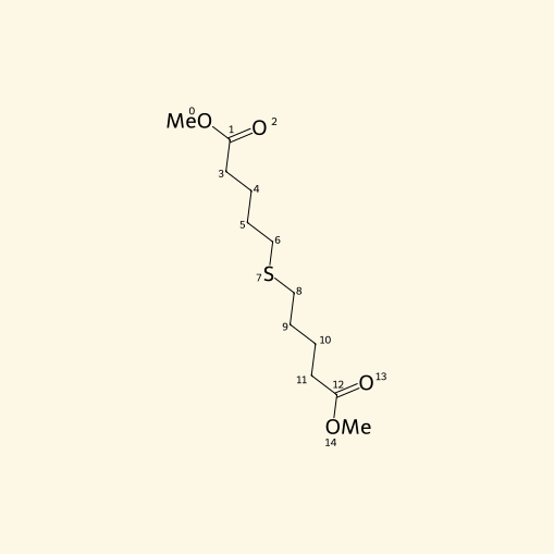 COC(=O)CCCCSCCCCC(=O)OC